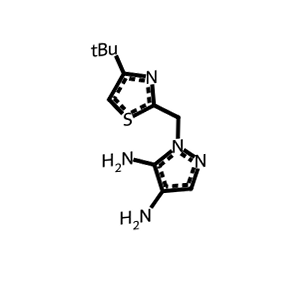 CC(C)(C)c1csc(Cn2ncc(N)c2N)n1